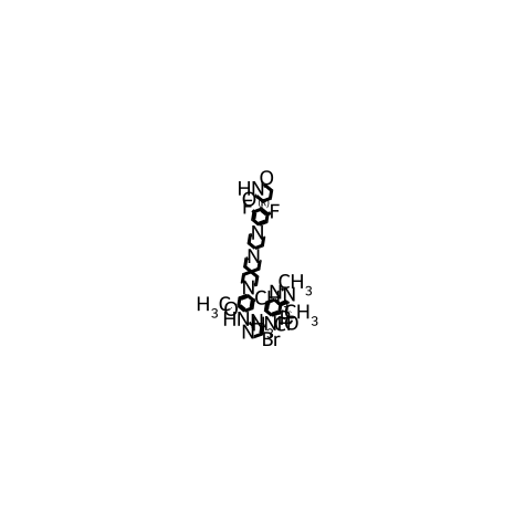 COc1cc(N2CCC3(CC2)CCN(C2CCN(c4cc(F)c([C@H]5CCC(=O)NC5=O)c(F)c4)CC2)CC3)c(C)cc1Nc1ncc(Br)c(Nc2ccc3nc(C)ncc3c2P(C)(C)=O)n1